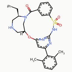 Cc1cccc(C)c1-c1cc2nc(n1)NS(=O)(=O)c1cccc(c1)C(=O)N1C[C@@H](CNC[C@H]1CC(C)C)O2